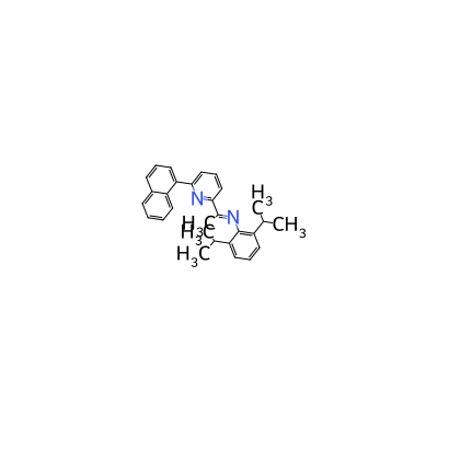 C/C(=N\c1c(C(C)C)cccc1C(C)C)c1cccc(-c2cccc3ccccc23)n1